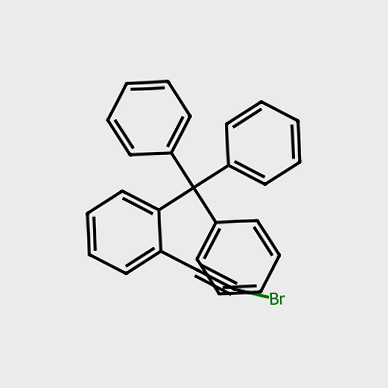 BrC#Cc1ccccc1C(c1ccccc1)(c1ccccc1)c1ccccc1